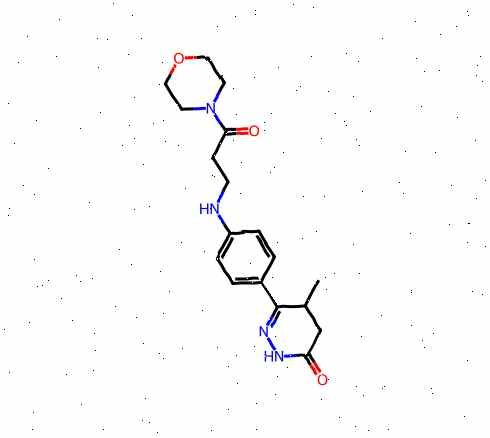 CC1CC(=O)NN=C1c1ccc(NCCC(=O)N2CCOCC2)cc1